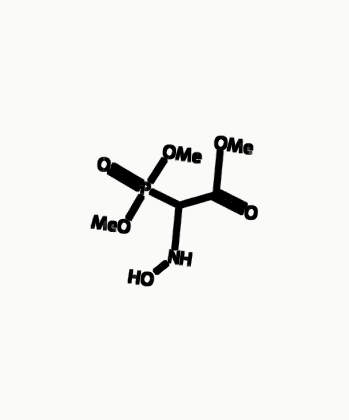 COC(=O)C(NO)P(=O)(OC)OC